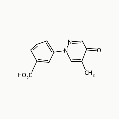 Cc1cn(-c2cccc(C(=O)O)c2)ncc1=O